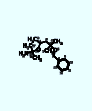 CC(CC(C)(C)OCc1ccccc1)OC(C)(C)N